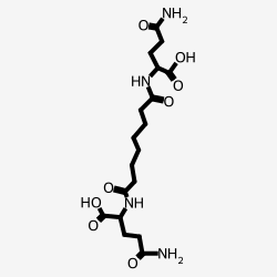 NC(=O)CCC(NC(=O)CCCCCCC(=O)NC(CCC(N)=O)C(=O)O)C(=O)O